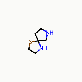 C1CC2(CN1)NCCS2